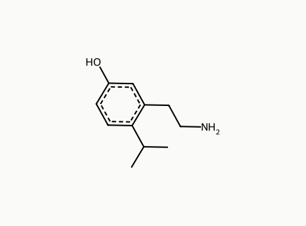 CC(C)c1ccc(O)cc1CCN